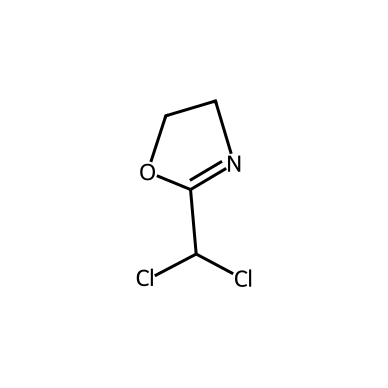 ClC(Cl)C1=NCCO1